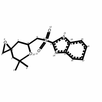 CC1(C)CC2(CO2)CC(CS(=O)(=O)c2nc3ccccc3s2)O1